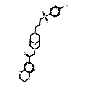 N#Cc1ccc(S(=O)(=O)CCCN2CC3CN(CC(=O)c4ccc5c(c4)OCCO5)CC(C2)O3)cc1